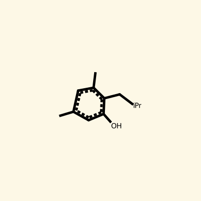 Cc1cc(C)c(CC(C)C)c(O)c1